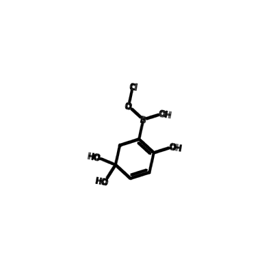 OB(OCl)C1=C(O)C=CC(O)(O)C1